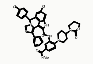 CNC(=O)c1ccc(N2CCC(N3CCCOC3=O)CC2)c(NC(=O)c2[nH]c3cc(Cl)cc4c3c2-c2c(-c3ccccc3)ncn2C4c2ccc(Cl)cc2)c1